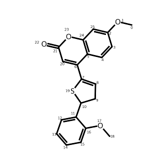 COc1ccc2c(C3=CCC(c4ccccc4OC)S3)cc(=O)oc2c1